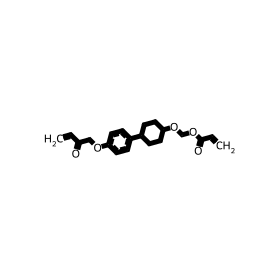 C=CC(=O)COc1ccc(C2CCC(OCOC(=O)C=C)CC2)cc1